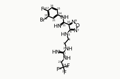 N=C(NCCNc1nonc1C(=N)Nc1ccc(F)c(Br)c1)NCC(F)(F)F